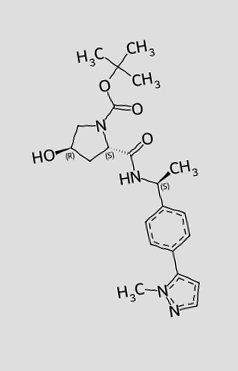 C[C@H](NC(=O)[C@@H]1C[C@@H](O)CN1C(=O)OC(C)(C)C)c1ccc(-c2ccnn2C)cc1